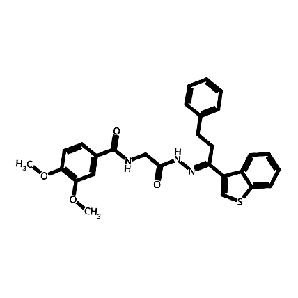 COc1ccc(C(=O)NCC(=O)N/N=C(\CCc2ccccc2)c2csc3ccccc23)cc1OC